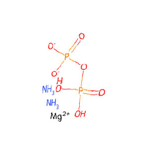 N.N.O=P([O-])([O-])OP(=O)(O)O.[Mg+2]